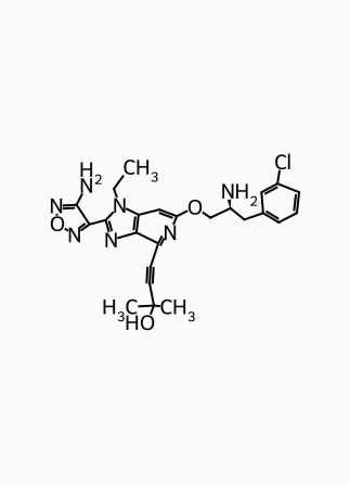 CCn1c(-c2nonc2N)nc2c(C#CC(C)(C)O)nc(OC[C@@H](N)Cc3cccc(Cl)c3)cc21